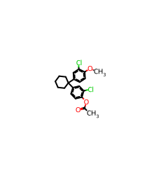 COc1ccc(C2(c3ccc(OC(C)=O)c(Cl)c3)CCCCC2)cc1Cl